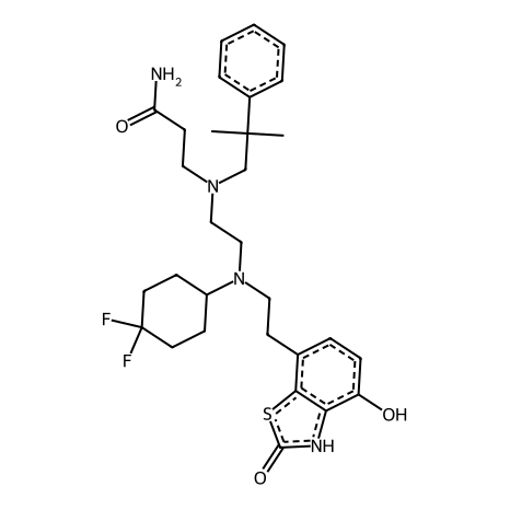 CC(C)(CN(CCC(N)=O)CCN(CCc1ccc(O)c2[nH]c(=O)sc12)C1CCC(F)(F)CC1)c1ccccc1